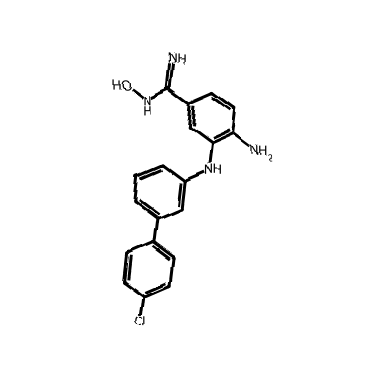 N=C(NO)c1ccc(N)c(Nc2cccc(-c3ccc(Cl)cc3)c2)c1